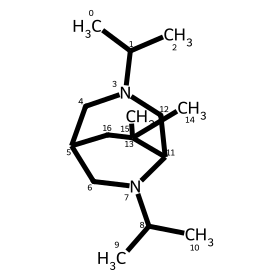 CC(C)N1CC2CN(C(C)C)C(C1)C(C)(C)C2